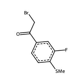 CSc1ccc(C(=O)CBr)cc1F